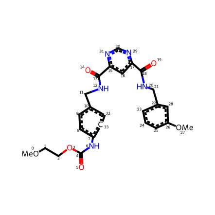 COCCOC(=O)Nc1ccc(CNC(=O)c2cc(C(=O)NCc3cccc(OC)c3)ncn2)cc1